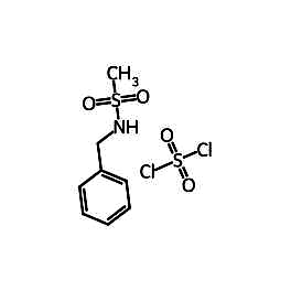 CS(=O)(=O)NCc1ccccc1.O=S(=O)(Cl)Cl